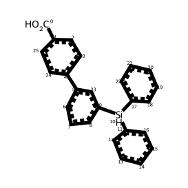 O=C(O)c1ccc(-c2cccc([SiH](c3ccccc3)c3ccccc3)c2)cc1